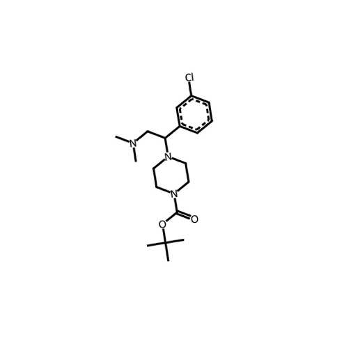 CN(C)CC(c1cccc(Cl)c1)N1CCN(C(=O)OC(C)(C)C)CC1